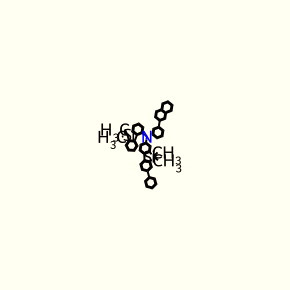 C[Si]1(C)c2cc(-c3ccccc3)ccc2-c2ccc(N(c3cccc(-c4ccc5ccccc5c4)c3)c3cccc4c3-c3ccccc3[Si]4(C)C)cc21